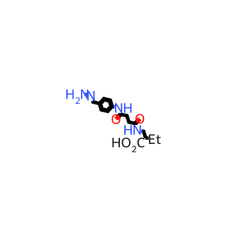 CCC(CNC(=O)CCC(=O)Nc1ccc(C=NN)cc1)C(=O)O